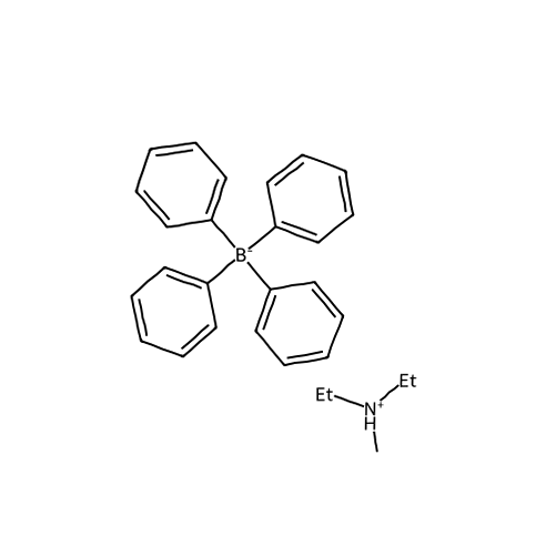 CC[NH+](C)CC.c1ccc([B-](c2ccccc2)(c2ccccc2)c2ccccc2)cc1